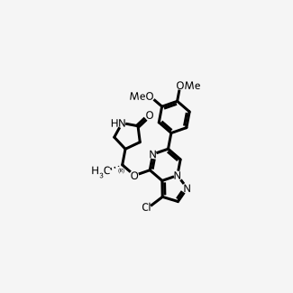 COc1ccc(-c2cn3ncc(Cl)c3c(O[C@H](C)C3CNC(=O)C3)n2)cc1OC